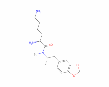 CCN(C(=O)[C@@H](N)CCCCN)[C@@H](C)Cc1ccc2c(c1)OCO2